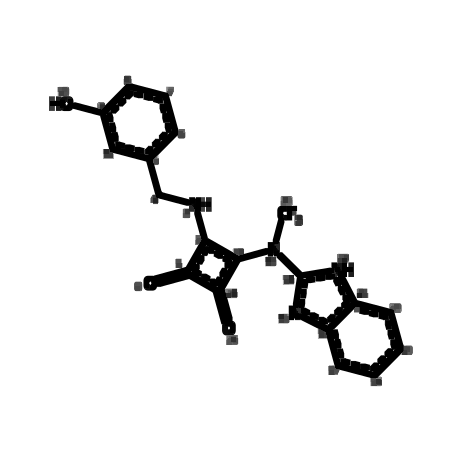 O=c1c(NCc2cccc(O)c2)c(N(c2nc3ccccc3[nH]2)C(F)(F)F)c1=O